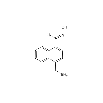 BCc1ccc(/C(Cl)=N/O)c2ccccc12